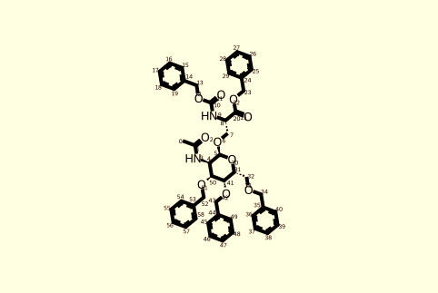 CC(=O)N[C@H]1[C@@H](OC[C@H](NC(=O)OCc2ccccc2)C(=O)OCc2ccccc2)O[C@H](COCc2ccccc2)[C@H](OCc2ccccc2)[C@@H]1OCc1ccccc1